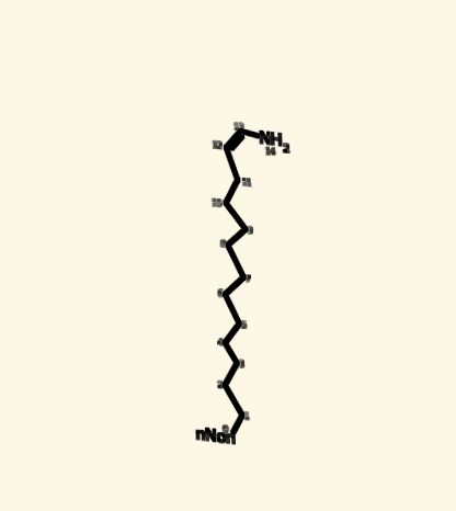 CCCCCCCCCCCCCCCCCCCC/C=C\N